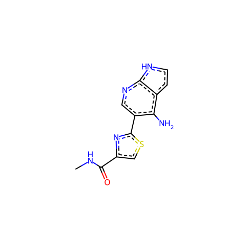 CNC(=O)c1csc(-c2cnc3[nH]ccc3c2N)n1